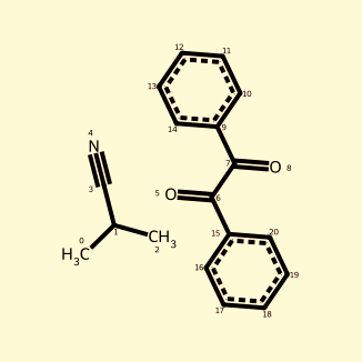 CC(C)C#N.O=C(C(=O)c1ccccc1)c1ccccc1